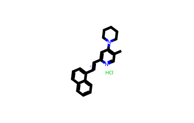 Cc1cnc(/C=C/c2cccc3ccccc23)cc1N1CCCCC1.Cl